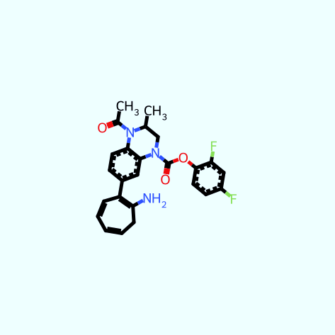 CC(=O)N1c2ccc(C3=C(N)CC=CC=C3)cc2N(C(=O)Oc2ccc(F)cc2F)CC1C